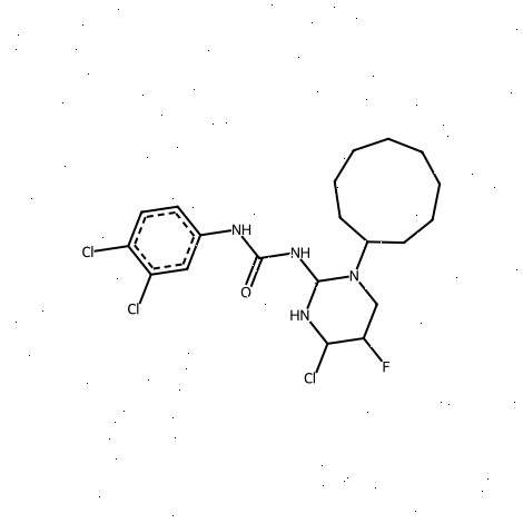 O=C(Nc1ccc(Cl)c(Cl)c1)NC1NC(Cl)C(F)CN1C1CCCCCCCC1